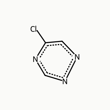 Clc1cnncn1